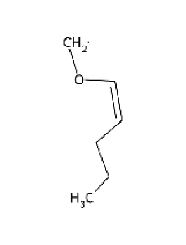 [CH2]O/C=C\CCC